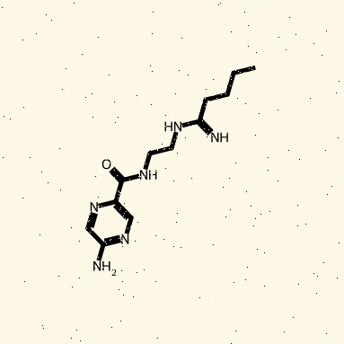 CCCCC(=N)NCCNC(=O)c1cnc(N)cn1